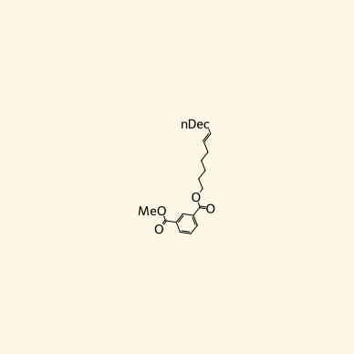 CCCCCCCCCCC=CCCCCCOC(=O)c1cccc(C(=O)OC)c1